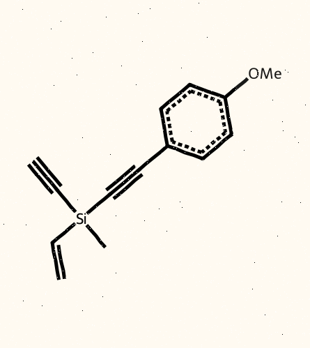 C#C[Si](C)(C#Cc1ccc(OC)cc1)C=C